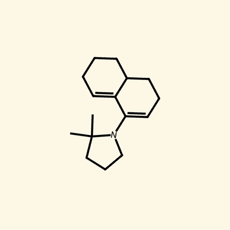 CC1(C)CCCN1C1=CCCC2CCCC=C12